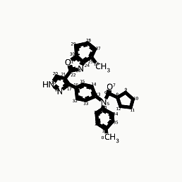 Cc1ccc(N(C(=O)C2CCCC2)c2ccc(-c3n[nH]cc3-c3nc4c(C)cccc4o3)cc2)cc1